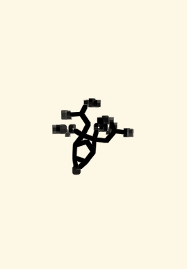 CCCCC(CC)CC1(C(=O)O)C2CC(C3OC32)C1(CC(CC)CCCC)C(=O)O